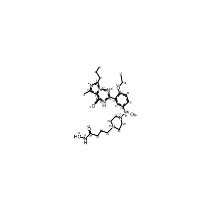 CCCc1nc(C)c2c(=O)[nH]c(-c3cc([S@+]([O-])N4CCN(CCCC(=O)NO)CC4)ccc3OCC)nn12